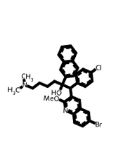 COc1nc2ccc(Br)cc2cc1C(c1ccc(Cl)cc1)C(O)(CCCCN(C)C)c1ccc2ccccc2c1